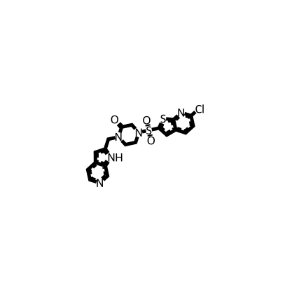 O=C1CN(S(=O)(=O)c2cc3ccc(Cl)nc3s2)CCN1Cc1cc2ccncc2[nH]1